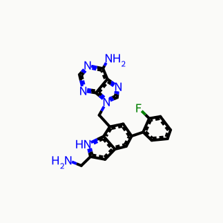 NCc1cc2cc(-c3ccccc3F)cc(Cn3cnc4c(N)ncnc43)c2[nH]1